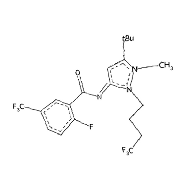 Cn1c(C(C)(C)C)cc(=NC(=O)c2cc(C(F)(F)F)ccc2F)n1CCCC(F)(F)F